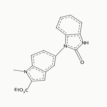 CCOC(=O)c1cc2cc(-n3c(=O)[nH]c4ccccc43)ccc2n1C